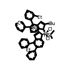 CCc1ccccc1-c1c(-c2ccccc2)ccc2c1C=C(C(C)CC)[CH]2[Zr]([Cl])([Cl])([CH]1C(C(C)CC)=Cc2c1ccc(-c1ccccc1)c2-c1ccccc1CC)[SiH](C)C